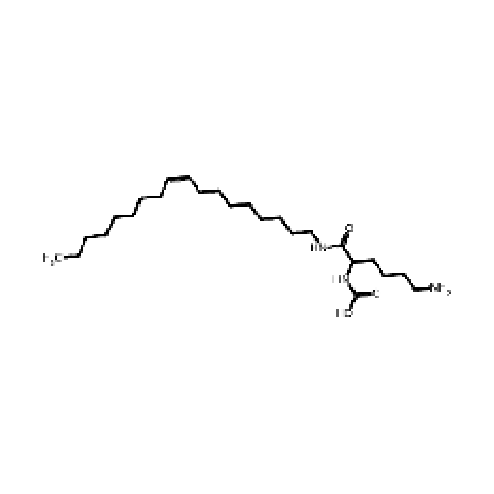 CCCCCCCC/C=C\CCCCCCCCNC(=O)C(CCCCN)NC(=O)O